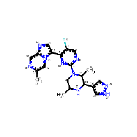 CC1CN(c2ncc(F)c(-c3cnc4cnc(C(F)(F)F)cn34)n2)C(C)C(c2cn[nH]c2)N1